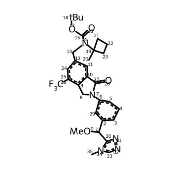 COC(c1cccc(N2Cc3c(cc(CN(C(=O)OC(C)(C)C)C4(C)CCC4)cc3C(F)(F)F)C2=O)c1)c1nncn1C